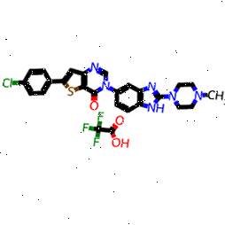 CN1CCN(c2nc3cc(-n4cnc5cc(-c6ccc(Cl)cc6)sc5c4=O)ccc3[nH]2)CC1.O=C(O)C(F)(F)F